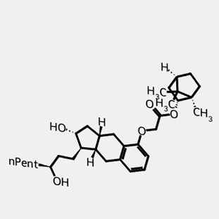 CCCCC[C@H](O)CC[C@@H]1[C@H]2Cc3cccc(OCC(=O)O[C@@H]4C[C@H]5CC[C@]4(C)C5(C)C)c3C[C@H]2C[C@H]1O